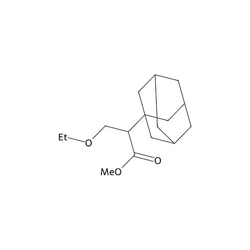 CCOCC(C(=O)OC)C12CC3CC(CC(C3)C1)C2